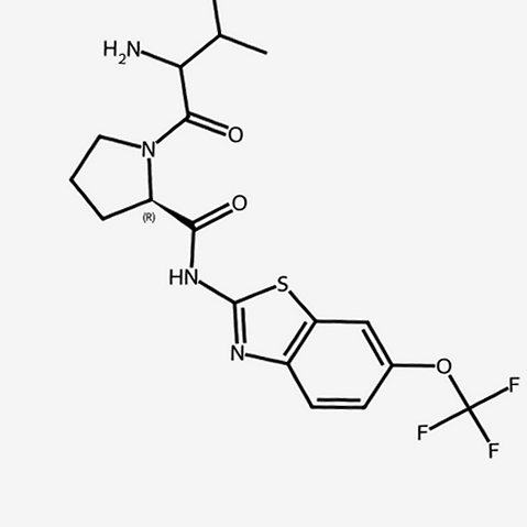 CC(C)C(N)C(=O)N1CCC[C@@H]1C(=O)Nc1nc2ccc(OC(F)(F)F)cc2s1